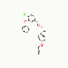 C#CCOc1ccc(C(C)(C)COCc2ccc(F)c(Oc3ccccc3)c2)cc1